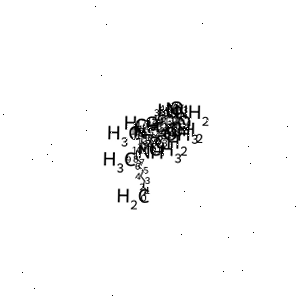 C=CCCCCCCC(C)CNc1cc(N(C)C)c2c(c1C)C(=C)C1=C(O)[C@]3(C)C(=C)C(C(N)=O)=C(N=O)[C@H]4CC[C@]43C[C@]1(C)C2